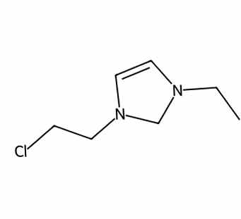 CCN1C=CN(CCCl)C1